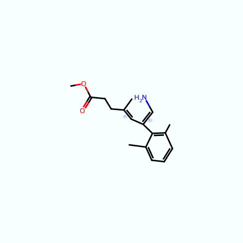 COC(=O)CC/C(C)=C/C(=C\N)c1c(C)cccc1C